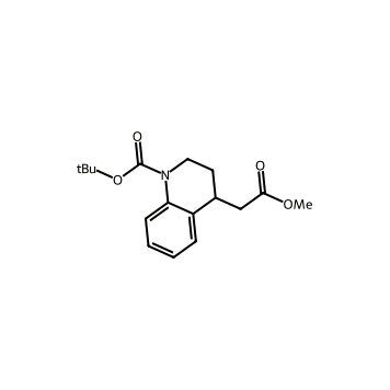 COC(=O)CC1CCN(C(=O)OC(C)(C)C)c2ccccc21